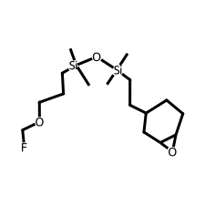 C[Si](C)(CCCOCF)O[Si](C)(C)CCC1CCC2OC2C1